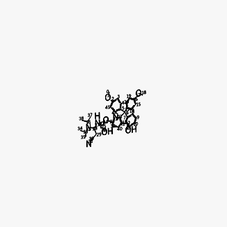 COc1ccc(C(c2ccccc2)(c2ccc(OC)cc2)c2nc(OP(O)NC(CC#N)N(C(C)C)C(C)C)ccc2CO)cc1